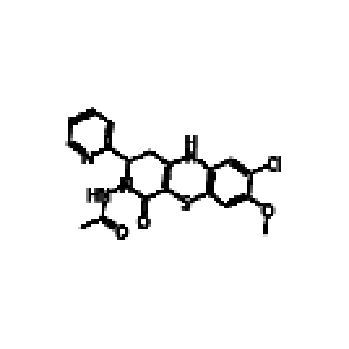 COc1cc2c(cc1Cl)NC1=C(S2)C(=O)N(NC(C)=O)C(c2ccccn2)C1